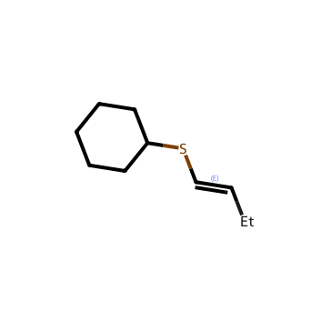 CC/C=C/SC1CCCCC1